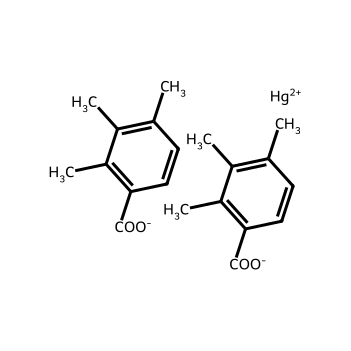 Cc1ccc(C(=O)[O-])c(C)c1C.Cc1ccc(C(=O)[O-])c(C)c1C.[Hg+2]